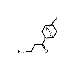 O=C(CCC(F)(F)F)N1CC2CCC1CN2I